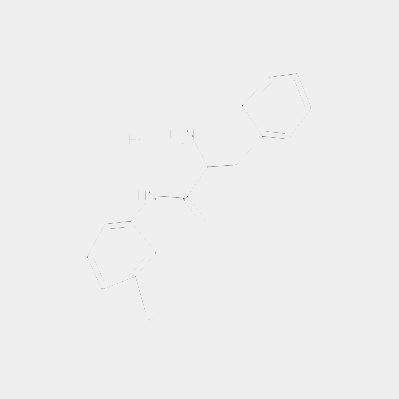 Cl.NC(Cc1ccccc1)C(=O)Nc1cccc(Br)c1